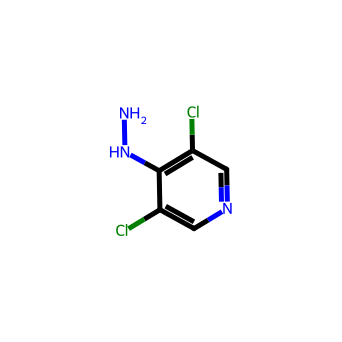 NNc1c(Cl)cncc1Cl